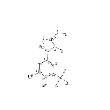 CCn1cnc(-c2cc(Cl)c(F)c(C(C)(C)C)c2)c1C